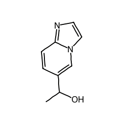 CC(O)c1ccc2nccn2c1